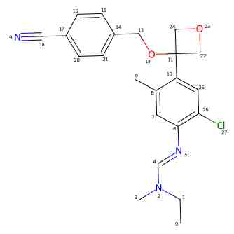 CCN(C)C=Nc1cc(C)c(C2(OCc3ccc(C#N)cc3)COC2)cc1Cl